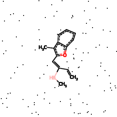 C=C/C(BC)=C\c1oc2ccccc2c1C